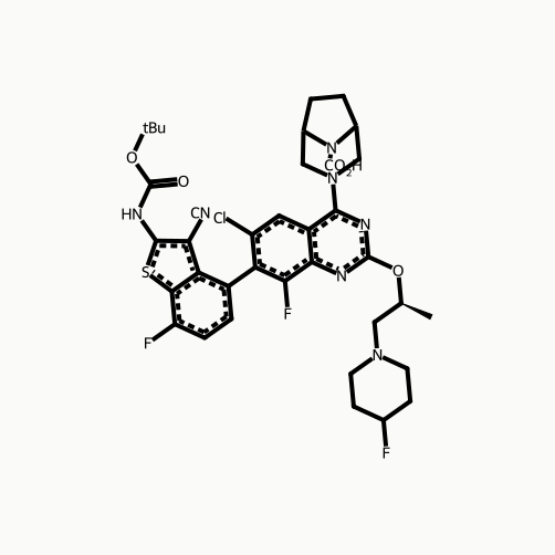 C[C@@H](CN1CCC(F)CC1)Oc1nc(N2CC3CCC(C2)N3C(=O)O)c2cc(Cl)c(-c3ccc(F)c4sc(NC(=O)OC(C)(C)C)c(C#N)c34)c(F)c2n1